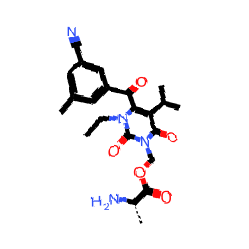 CCn1c(C(=O)c2cc(C)cc(C#N)c2)c(C(C)C)c(=O)n(COC(=O)[C@H](C)N)c1=O